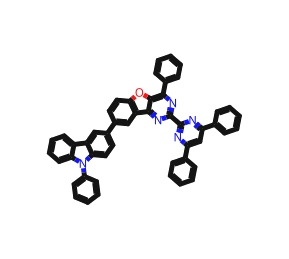 c1ccc(-c2cc(-c3ccccc3)nc(-c3nc(-c4ccccc4)c4oc5ccc(-c6ccc7c(c6)c6ccccc6n7-c6ccccc6)cc5c4n3)n2)cc1